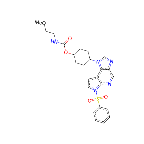 COCCNC(=O)OC1CCC(n2cnc3cnc4c(ccn4S(=O)(=O)c4ccccc4)c32)CC1